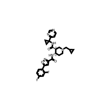 O=C(N[C@H]1CCN(CC2CC2)C[C@@H]1C(=O)NC1(c2ccncn2)CC1)c1cc(-c2ccc(F)cc2F)on1